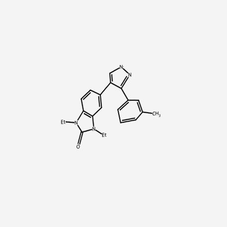 CCn1c(=O)n(CC)c2cc(C3=C[N]N=C3c3cccc(C)c3)ccc21